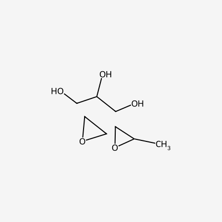 C1CO1.CC1CO1.OCC(O)CO